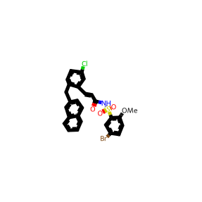 COc1ccc(Br)cc1S(=O)(=O)NC(=O)/C=C/c1cc(Cl)ccc1Cc1ccc2ccccc2c1